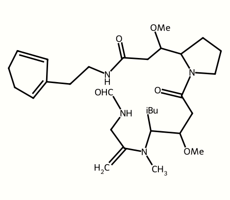 C=C(CNC=O)N(C)C(C(C)CC)C(CC(=O)N1CCCC1C(CC(=O)NCCC1=CCCC=C1)OC)OC